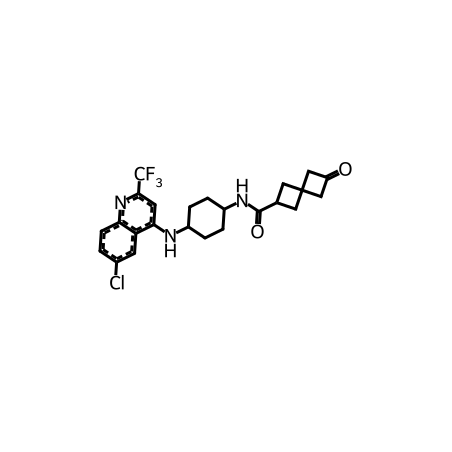 O=C1CC2(C1)CC(C(=O)NC1CCC(Nc3cc(C(F)(F)F)nc4ccc(Cl)cc34)CC1)C2